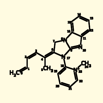 C=C/C=C\C(C)=C1/Cn2c(nc3ccccc32)N1c1cccc[n+]1C